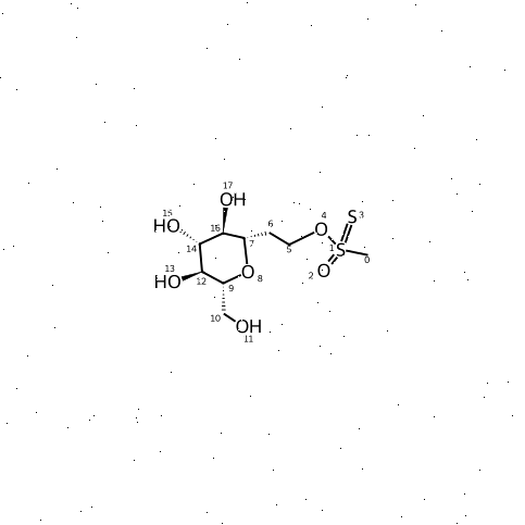 CS(=O)(=S)OCC[C@@H]1O[C@H](CO)[C@@H](O)[C@H](O)[C@H]1O